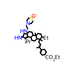 CCOC(=O)C1CC=C(/C(C)=C/CC2(C)C(CC)CCC3(C)C4CCC5(NCCN6CC[S+]([O-])CC6)CC(=N)C(C(C)C)=C5C4CCC23)CC1